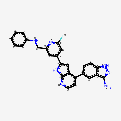 Nc1n[nH]c2ccc(-c3ccnc4[nH]c(-c5cc(F)nc(CNc6ccccc6)c5)cc34)cc12